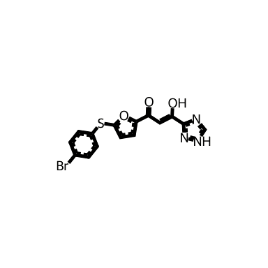 O=C(C=C(O)c1nc[nH]n1)c1ccc(Sc2ccc(Br)cc2)o1